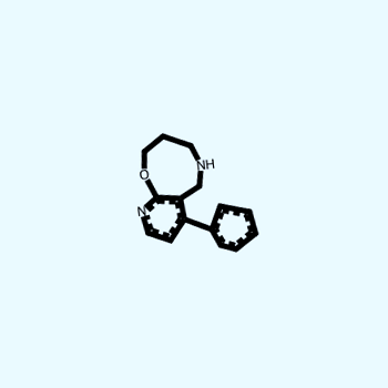 c1ccc(-c2ccnc3c2CNCCCO3)cc1